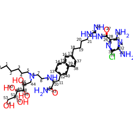 CCCCCCN(CCN[C@@H](Cc1ccc2cc(CCCCNC(=N)NC(=O)c3nc(Cl)c(N)nc3N)ccc2c1)C(N)=O)C[C@H](O)[C@@H](O)[C@H](O)[C@H](O)CO